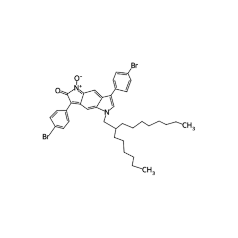 CCCCCCCCC(CCCCCC)Cn1cc(-c2ccc(Br)cc2)c2cc3c(cc21)=C(c1ccc(Br)cc1)C(=O)[N+]=3[O-]